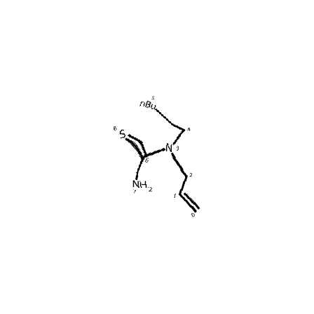 C=CCN(CCCCC)C(N)=S